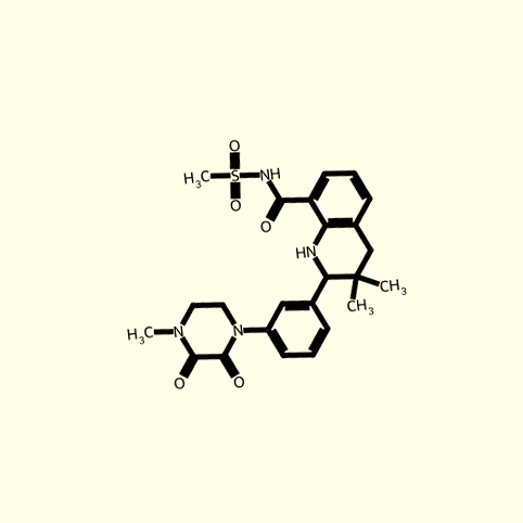 CN1CCN(c2cccc(C3Nc4c(cccc4C(=O)NS(C)(=O)=O)CC3(C)C)c2)C(=O)C1=O